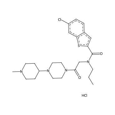 CCCN(CC(=O)N1CCN(C2CCN(C)CC2)CC1)C(=O)c1cc2ccc(Cl)cc2s1.Cl